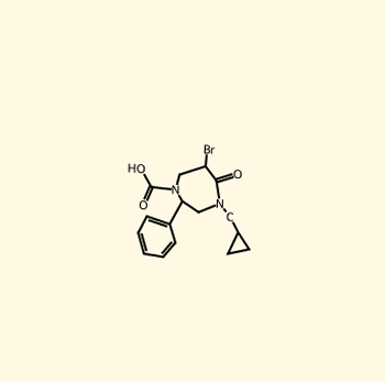 O=C1C(Br)CN(C(=O)O)C(c2ccccc2)CN1CC1CC1